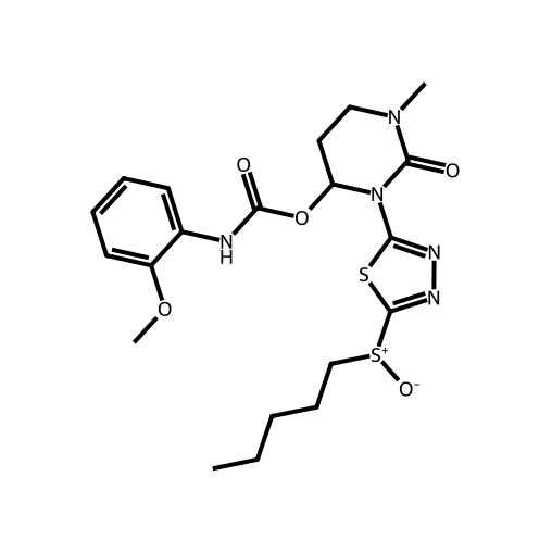 CCCCC[S+]([O-])c1nnc(N2C(=O)N(C)CCC2OC(=O)Nc2ccccc2OC)s1